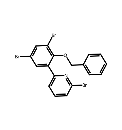 Brc1cc(Br)c(OCc2ccccc2)c(-c2cccc(Br)n2)c1